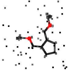 CCCOCC1CCCC1COCCC